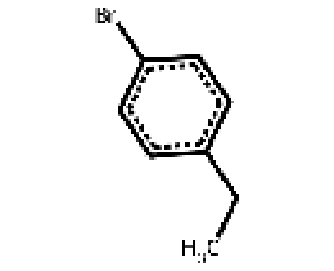 CCc1[c]cc(Br)cc1